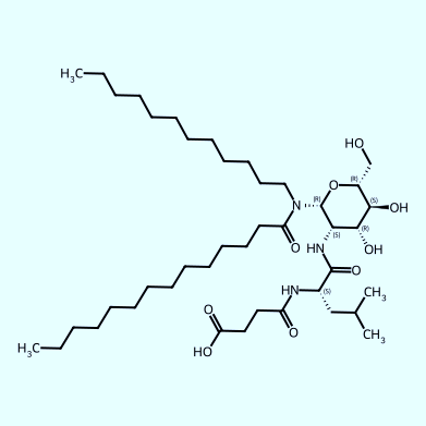 CCCCCCCCCCCCCC(=O)N(CCCCCCCCCCCC)[C@@H]1O[C@H](CO)[C@@H](O)[C@H](O)[C@@H]1NC(=O)[C@H](CC(C)C)NC(=O)CCC(=O)O